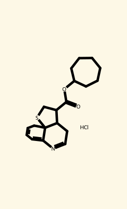 Cl.O=C(OC1CCCCCC1)C1CSC23CC=CC=C2N=CCC13